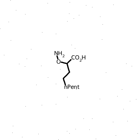 CCCCCCCC(ON)C(=O)O